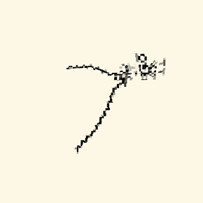 CCCCCCCCCCCCC/C=C/[C@@H](O)[C@H](CO[C@@H]1O[C@H](CO)[C@@H](O)[C@H](O)[C@H]1O)NC(=O)CCCCCCCCCCCCCCCCCCCCCCC